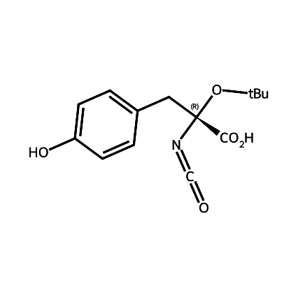 CC(C)(C)O[C@@](Cc1ccc(O)cc1)(N=C=O)C(=O)O